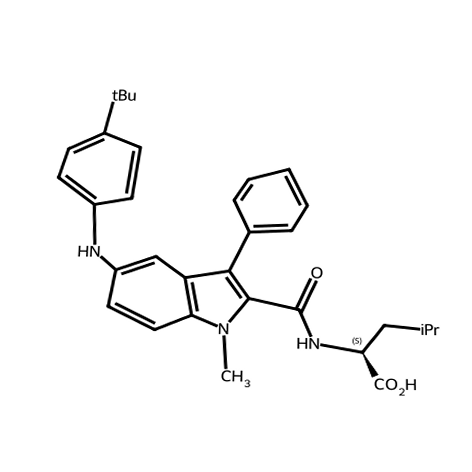 CC(C)C[C@H](NC(=O)c1c(-c2ccccc2)c2cc(Nc3ccc(C(C)(C)C)cc3)ccc2n1C)C(=O)O